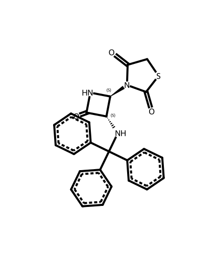 O=C1N[C@@H](N2C(=O)CSC2=O)[C@@H]1NC(c1ccccc1)(c1ccccc1)c1ccccc1